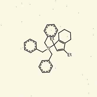 CCC1=C[C](CC)([Ti]([CH2]c2ccccc2)([CH2]c2ccccc2)[CH2]c2ccccc2)C2=C1CCCC2